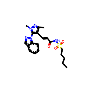 CCCCCS(=O)(=O)NC(=O)C=Cc1c(C)nn(C)c1-n1ncc2ccccc21